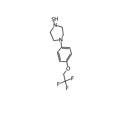 FC(F)(F)COc1ccc(N2CCN(S)CC2)cc1